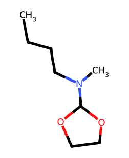 CCCCN(C)C1OCCO1